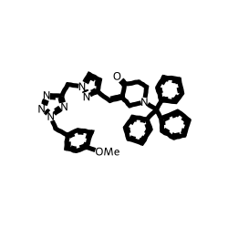 COc1ccc(Cn2nnc(Cn3ccc(C=C4CN(C(c5ccccc5)(c5ccccc5)c5ccccc5)CCC4=O)n3)n2)cc1